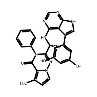 Cc1ccn2nc(C(C)Nc3ncnc4[nH]cc(-c5cc(O)cc(C#N)c5)c34)n(-c3ccccc3)c(=O)c12